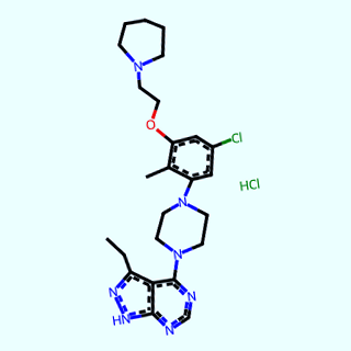 CCc1n[nH]c2ncnc(N3CCN(c4cc(Cl)cc(OCCN5CCCCC5)c4C)CC3)c12.Cl